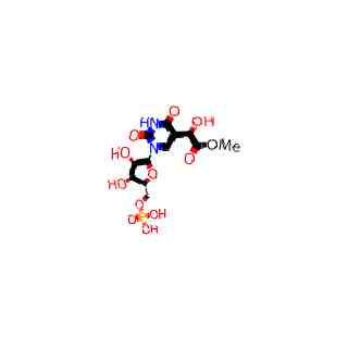 COC(=O)C(O)c1cn([C@@H]2O[C@H](COP(=O)(O)O)[C@@H](O)[C@H]2O)c(=O)[nH]c1=O